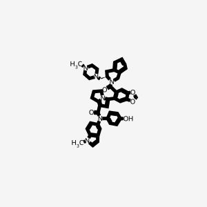 CN1CCN(C[C@@H]2Cc3ccccc3CN2C(=O)c2cc3c(cc2-c2cc(C(=O)N(c4ccc(O)cc4)c4ccc5c(ccn5C)c4)c4n2CCC4)OCO3)CC1